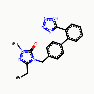 CCC(C)n1nc(CC(C)C)n(Cc2ccc(-c3ccccc3-c3nnn[nH]3)cc2)c1=O